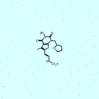 Cc1c(/C=N/NC(=O)O)sc2c1c(=O)n(C(C)C)c(=O)n2CC1CCCO1